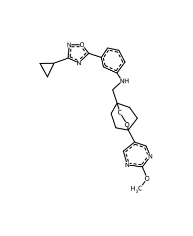 COc1ncc(C23CCC(CNc4cccc(-c5nc(C6CC6)no5)c4)(CC2)CO3)cn1